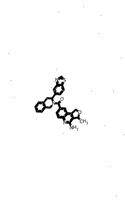 CC1OCc2c1c(N)nc1ccc(C(=O)N3Cc4ccccc4CC3c3ccc4scnc4c3)cc21